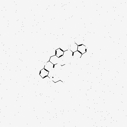 CCCS(=O)(=O)c1cccc(NC(Cc2ccc(NC(=O)c3c(Cl)cncc3Cl)cc2)C(=O)OCC)c1